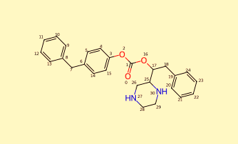 O=C(Oc1ccc(Cc2ccccc2)cc1)OC(Cc1ccccc1)C1CNCCN1